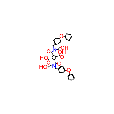 O=C(O)[C@H]1[C@H](C(=O)N(CCO)Cc2ccc(Oc3ccccc3)cc2)[C@H](C(=O)O)[C@H]1C(=O)N(CCO)Cc1ccc(Oc2ccccc2)cc1